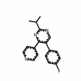 CC(C)c1ncc(-c2ccc(F)cc2)c(-c2ccncc2)n1